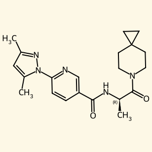 Cc1cc(C)n(-c2ccc(C(=O)N[C@H](C)C(=O)N3CCC4(CC3)CC4)cn2)n1